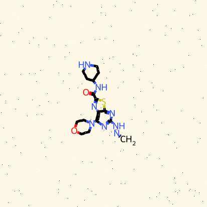 C=NNc1nc(N2CCOCC2)c2nc(C(=O)NC3CCNCC3)sc2n1